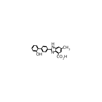 Cc1cc(C(=O)O)c2nc(-c3ccc(-c4ccccc4O)cc3)[nH]c2c1